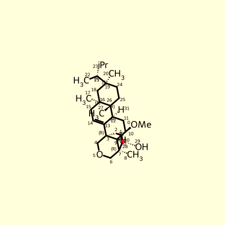 CO[C@@H]1C[C@@]23COC[C@@](C)([C@@H]2CC[C@H]2C3=CC[C@@]3(C)C[C@@](C)([C@H](C)C(C)C)CC[C@]23C)[C@H]1O